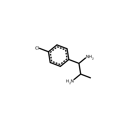 CC(N)C(N)c1ccc(Cl)cc1